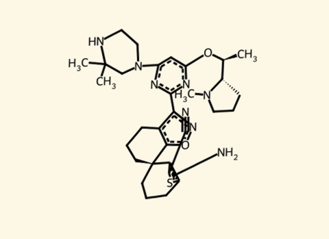 C[C@H](Oc1cc(N2CCNC(C)(C)C2)nc(-c2noc3c2CCC[C@@]32CCCc3sc(N)c(C#N)c32)n1)[C@@H]1CCCN1C